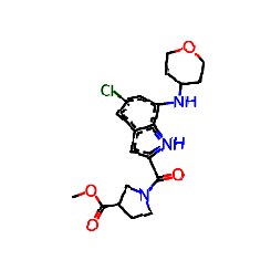 COC(=O)[C@@H]1CCN(C(=O)c2cc3cc(Cl)cc(NC4CCOCC4)c3[nH]2)C1